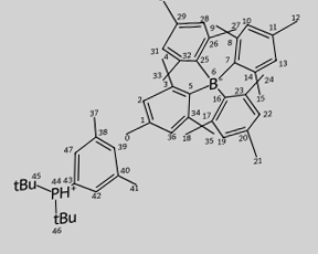 Cc1cc(C)c([B-](c2c(C)cc(C)cc2C)(c2c(C)cc(C)cc2C)c2c(C)cc(C)cc2C)c(C)c1.Cc1cc(C)cc([PH+](C(C)(C)C)C(C)(C)C)c1